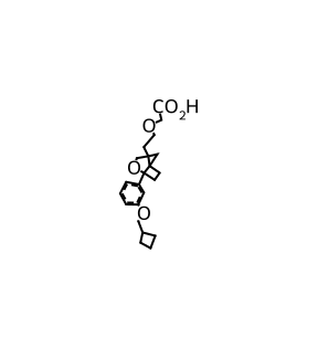 O=C(O)COCCC12COC3(c4cccc(OCC5CCC5)c4)CCC13C2